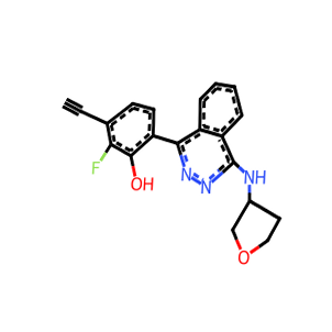 C#Cc1ccc(-c2nnc(NC3CCOC3)c3ccccc23)c(O)c1F